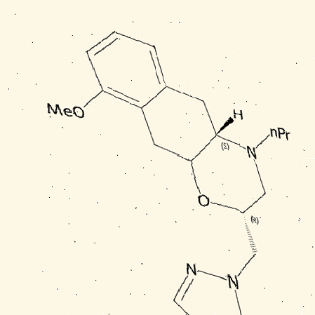 CCCN1C[C@H](Cn2cccn2)OC2Cc3c(cccc3OC)C[C@@H]21